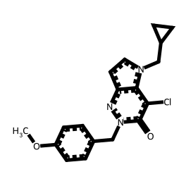 COc1ccc(Cn2nc3ccn(CC4CC4)c3c(Cl)c2=O)cc1